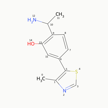 Cc1ncsc1-c1ccc(C(C)N)c(O)c1